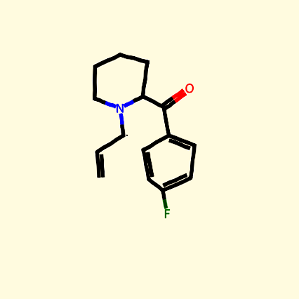 C=C[CH]N1CCCCC1C(=O)c1ccc(F)cc1